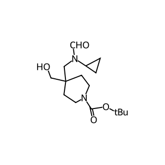 CC(C)(C)OC(=O)N1CCC(CO)(CN(C=O)C2CC2)CC1